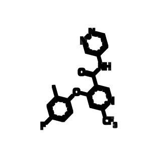 Cc1cc(F)ccc1Oc1cc(C(F)(F)F)ncc1C(=O)Nc1ccnnc1